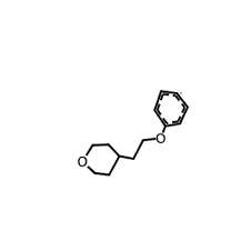 [c]1ccc(OCCC2CCOCC2)cc1